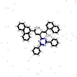 C=C(/C=C(\C=C(/C)c1cccc2ccccc12)c1nc(-c2ccccc2)nc(-c2ccccc2)n1)c1cc2ccccc2c2ccccc12